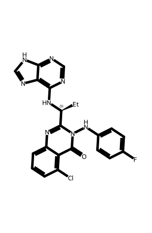 CC[C@H](Nc1ncnc2[nH]cnc12)c1nc2cccc(Cl)c2c(=O)n1Nc1ccc(F)cc1